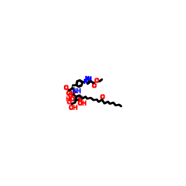 CCCCCCCC(=O)CCCCCC/C=C/[C@H](C(=O)N[C@@H](Cc1ccc(-n2cc(C(=O)OCC)nn2)cc1)C(=O)O)[C@@](O)(CC(=O)O)C(=O)O